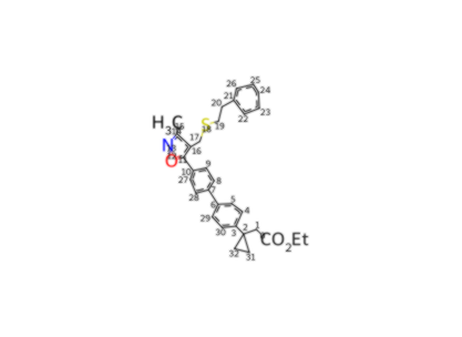 CCOC(=O)CC1(c2ccc(-c3ccc(-c4onc(C)c4CSCCc4ccccc4)cc3)cc2)CC1